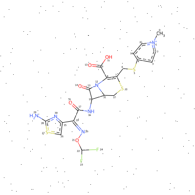 C[n+]1ccc(SCC2=C(C(=O)O)N3C(=O)C(NC(=O)C(=NOC(F)F)c4csc(N)n4)C3CS2)cc1